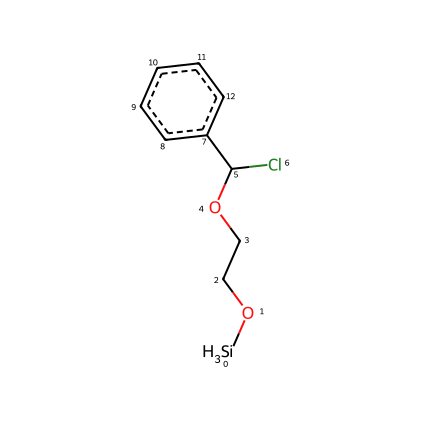 [SiH3]OCCOC(Cl)c1ccccc1